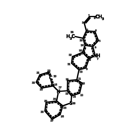 C/C=C\c1ccc2[nH]c3cc(-c4ccc5c(c4)N(c4ccccc4)c4ccccc4S5)ccc3c2c1C